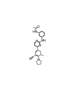 CC(=O)Nc1cccc(Nc2nccc(C3=CC(C#N)=C(N4CCCC4)C(C)C3)n2)c1